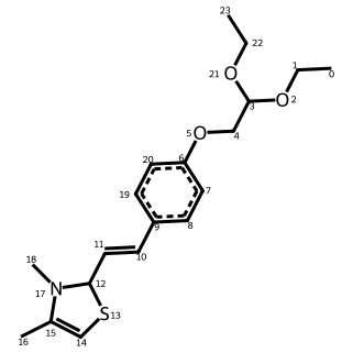 CCOC(COc1ccc(C=CC2SC=C(C)N2C)cc1)OCC